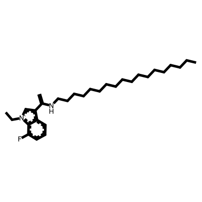 C=C(NCCCCCCCCCCCCCCCCCC)c1cn(CC)c2c(F)cccc12